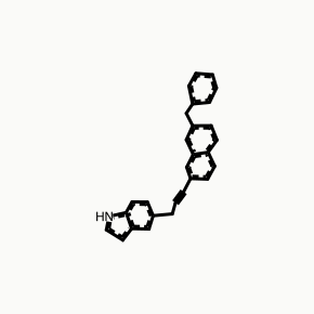 C(#Cc1ccc2ccc(Cc3ccccc3)cc2c1)Cc1ccc2[nH]ccc2c1